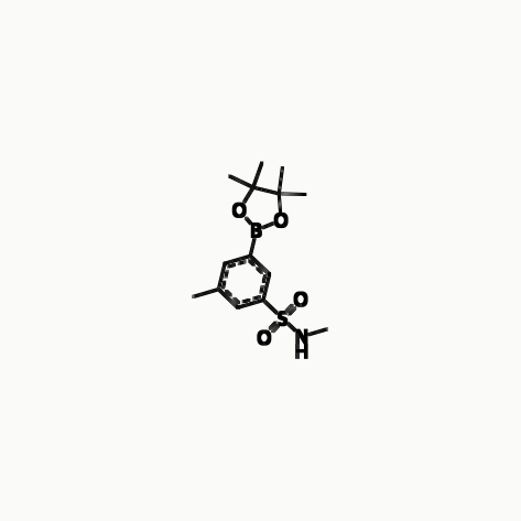 CNS(=O)(=O)c1cc(C)cc(B2OC(C)(C)C(C)(C)O2)c1